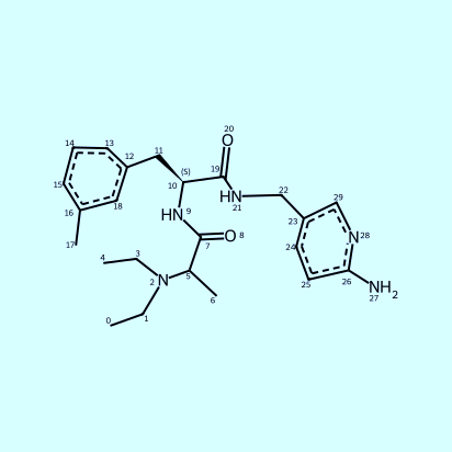 CCN(CC)C(C)C(=O)N[C@@H](Cc1cccc(C)c1)C(=O)NCc1ccc(N)nc1